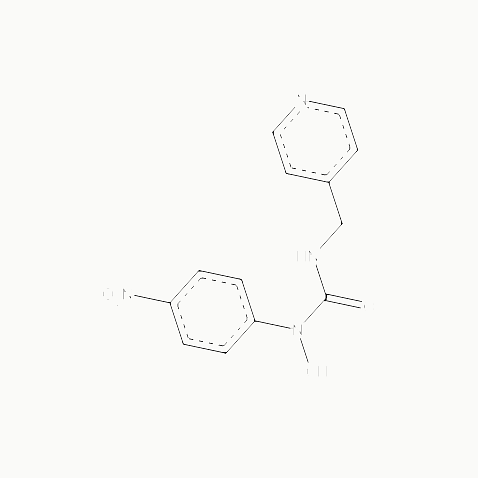 CN(C(=O)NCc1ccncc1)c1ccc([N+](=O)[O-])cc1